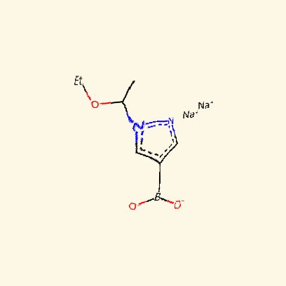 CCOC(C)n1cc(B([O-])[O-])cn1.[Na+].[Na+]